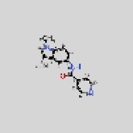 Cn1cc(C#N)c2cc(NC(=O)c3ccncc3)ccc21